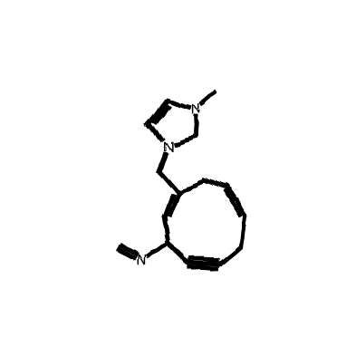 C=NC1C#CC/C=C\CC(CN2C=CN(C)C2)=C1